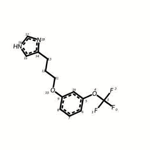 FC(F)(F)Oc1cccc(OCCCc2c[nH]cn2)c1